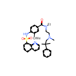 CCN(CCN(C)CC(C)(C)c1ccccc1)C(=O)c1ccc(NS(=O)(=O)c2cccc3cccnc23)c(OC)c1